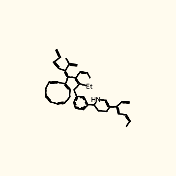 C=C\C=C/C(C(=C)C)=C(C(/C=C\C)=C(/CC)Cc1cccc(C2CCC(/C(C=C)=C/C=C\C)=CN2)c1)\C1=C\C/C=C\C=C/C\C=C/1